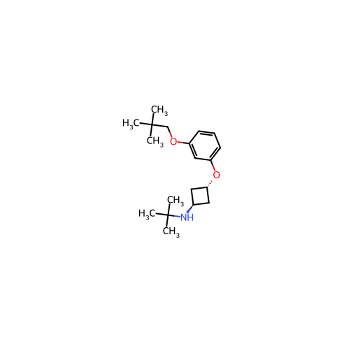 CC(C)(C)COc1cccc(O[C@H]2C[C@H](NC(C)(C)C)C2)c1